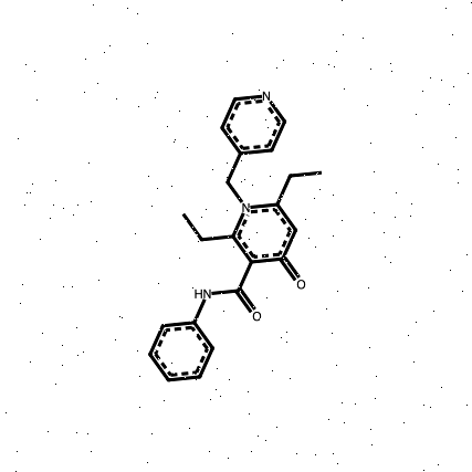 CCc1cc(=O)c(C(=O)Nc2ccccc2)c(CC)n1Cc1ccncc1